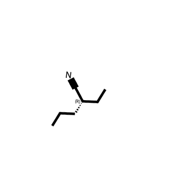 CCC[C@H](C#N)CC